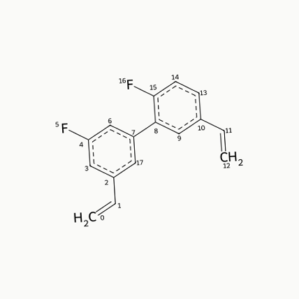 C=Cc1cc(F)cc(-c2cc(C=C)ccc2F)c1